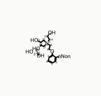 CCCCCCCCCc1ccccc1OCC[N+](CCO)(CCO)CCO.O=S(=O)(O)O